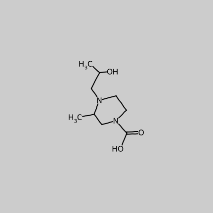 CC(O)CN1CCN(C(=O)O)CC1C